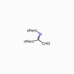 CCCCC/N=C(/C=O)CCCCC